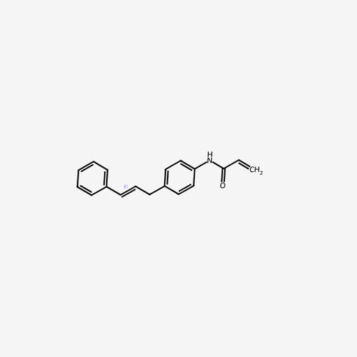 C=CC(=O)Nc1ccc(C/C=C/c2ccccc2)cc1